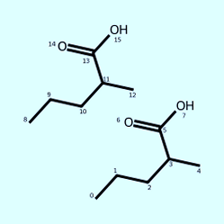 CCCC(C)C(=O)O.CCCC(C)C(=O)O